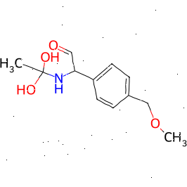 COCc1ccc(C(C=O)NC(C)(O)O)cc1